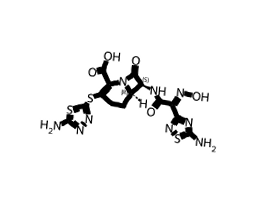 Nc1nc(C(=NO)C(=O)N[C@@H]2C(=O)N3C(C(=O)O)=C(Sc4nnc(N)s4)CC[C@H]23)ns1